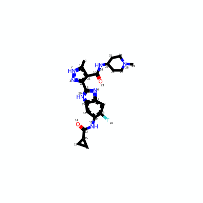 Cc1[nH]nc(-c2nc3cc(F)c(NC(=O)C4CC4)cc3[nH]2)c1C(=O)NC1CCN(C)CC1